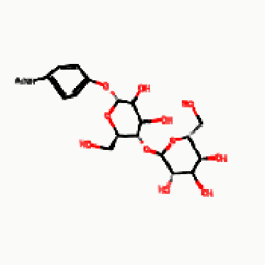 CC(=O)Nc1ccc(O[C@H]2O[C@H](CO)[C@@H](O[C@H]3O[C@H](CO)[C@@H](O)[C@@H](O)[C@@H]3O)C(O)C2O)cc1